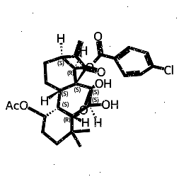 C=C1C(=O)[C@]23[C@H](OC(=O)c4ccc(Cl)cc4)[C@H]1CC[C@H]2[C@@]12CO[C@]3(O)[C@@H](O)[C@@H]1C(C)(C)CCC2OC(C)=O